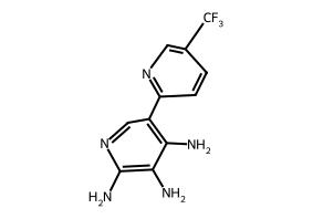 Nc1ncc(-c2ccc(C(F)(F)F)cn2)c(N)c1N